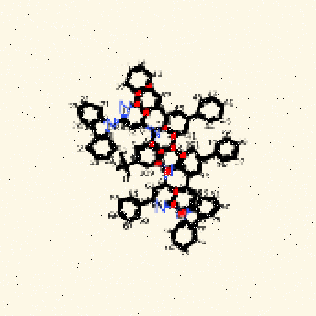 CC(C)(C)c1cc(N(c2cc(-c3ccccc3)nc(-n3c4ccccc4c4ccccc43)c2)c2c(-c3ccccc3)cc(-c3ccccc3)cc2-c2ccccc2)cc(N(c2cc(-c3ccccc3)nc(-n3c4ccccc4c4ccccc43)c2)c2c(-c3ccccc3)cc(-c3ccccc3)cc2-c2ccccc2)c1